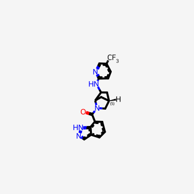 O=C(c1cccc2cn[nH]c12)N1C[C@H]2CC(Nc3ccc(C(F)(F)F)cn3)C1C2